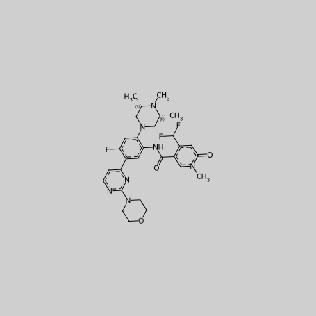 C[C@@H]1CN(c2cc(F)c(-c3ccnc(N4CCOCC4)n3)cc2NC(=O)c2cn(C)c(=O)cc2C(F)F)C[C@H](C)N1C